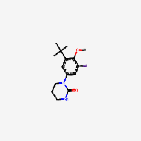 COc1c(I)cc(N2CCCNC2=O)cc1C(C)(C)C